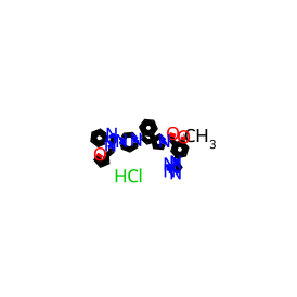 COc1ccc(-n2cnnn2)cc1C(=O)N1CCC(CCN2CCCN(c3nc4ccccc4n3Cc3ccco3)CC2)(c2ccccc2)C1.Cl